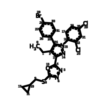 CCc1c(-c2nnc(SCC3CC3)o2)nn(-c2ccc(Cl)cc2Cl)c1-c1ccc(Br)cc1